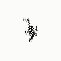 CCCCCc1cc(O)c2c(c1)OC(C)(C)C(C1CC(=O)N(OCCC=O)C1=O)=C2C